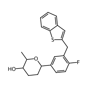 CC1OC(c2ccc(F)c(Cc3cc4ccccc4s3)c2)CCC1O